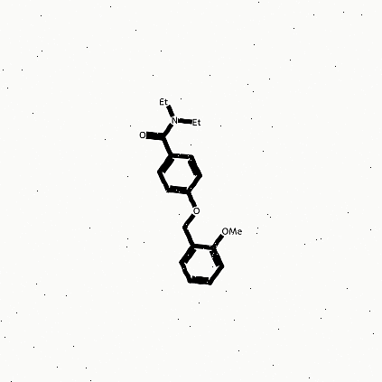 CCN(CC)C(=O)c1ccc(OCc2ccccc2OC)cc1